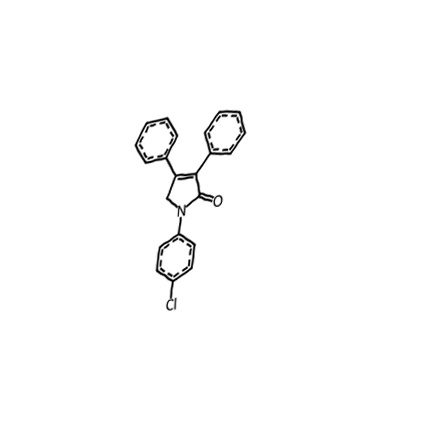 O=C1C(c2ccccc2)=C(c2ccccc2)CN1c1ccc(Cl)cc1